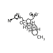 C[C@H]1CC[C@H]2[C@H](CC[C@@H]3[C@@H]2CC[C@]2(C)[C@@H](C(=O)Cn4cc(C#N)cn4)CC(C[N+](=O)[O-])[C@@H]32)C1